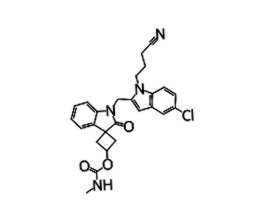 CNC(=O)OC1CC2(C1)C(=O)N(Cc1cc3cc(Cl)ccc3n1CCCC#N)c1ccccc12